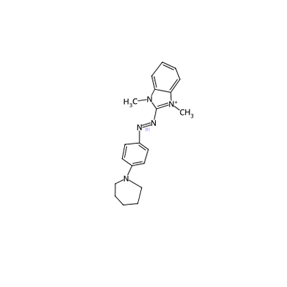 Cn1c(/N=N/c2ccc(N3CCCCC3)cc2)[n+](C)c2ccccc21